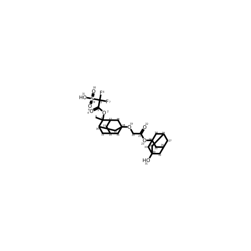 CC1(OC(=O)C(F)(F)S(=O)(=O)O)C2CC3CC1CC(OCC(=O)OC14CC5CC(CC(O)(C5)C1)C4)(C3)C2